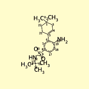 CC1(C)CC=C(c2cc(S(=O)(=O)NC(C)(C)C)ccc2N)CC1